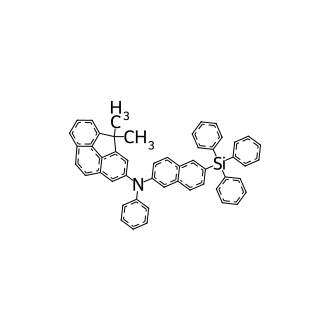 CC1(C)c2cccc3ccc4cc(N(c5ccccc5)c5ccc6cc([Si](c7ccccc7)(c7ccccc7)c7ccccc7)ccc6c5)cc1c4c23